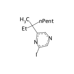 CCCCCC(C)(CC)c1cncc(I)n1